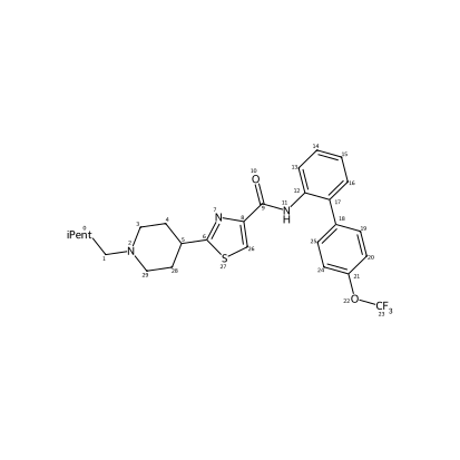 CCCC(C)CN1CCC(c2nc(C(=O)Nc3ccccc3-c3ccc(OC(F)(F)F)cc3)cs2)CC1